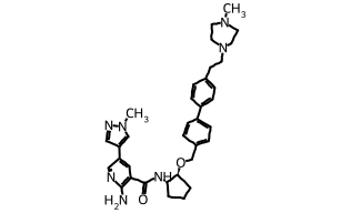 CN1CCN(CCc2ccc(-c3ccc(CO[C@H]4CCC[C@@H]4NC(=O)c4cc(-c5cnn(C)c5)cnc4N)cc3)cc2)CC1